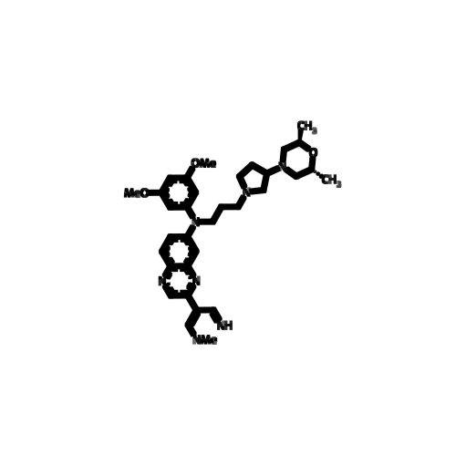 CN/C=C(\C=N)c1cnc2ccc(N(CCCN3CCC(N4C[C@@H](C)O[C@H](C)C4)C3)c3cc(OC)cc(OC)c3)cc2n1